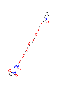 CC(C)(C)C1CCN(C(=O)CCOCCOCCOCCOCCOCCOCCOCCOCCNC(=O)CCN2C(=O)C=CC2=O)CC1